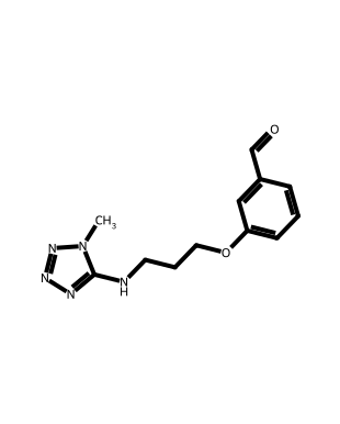 Cn1nnnc1NCCCOc1cccc(C=O)c1